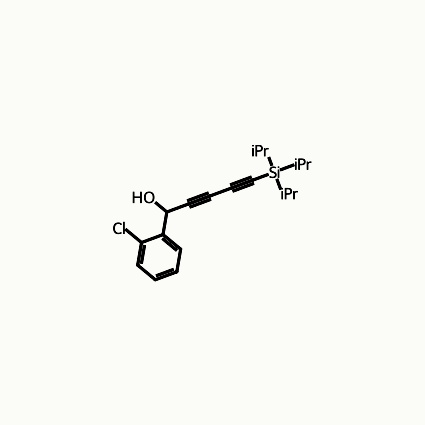 CC(C)[Si](C#CC#CC(O)c1ccccc1Cl)(C(C)C)C(C)C